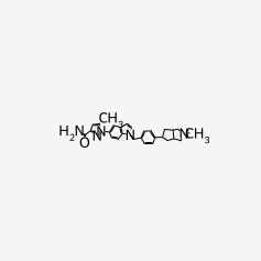 Cc1cc(C(N)=O)nn1-c1ccc2c(ccn2Cc2ccc(C3CC4CN(C)CC4C3)cc2)c1